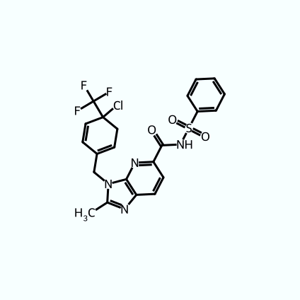 Cc1nc2ccc(C(=O)NS(=O)(=O)c3ccccc3)nc2n1CC1=CCC(Cl)(C(F)(F)F)C=C1